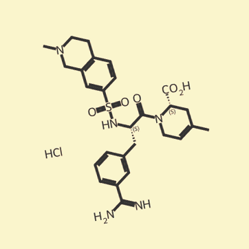 CC1=CCN(C(=O)[C@H](Cc2cccc(C(=N)N)c2)NS(=O)(=O)c2ccc3c(c2)CN(C)CC3)[C@H](C(=O)O)C1.Cl